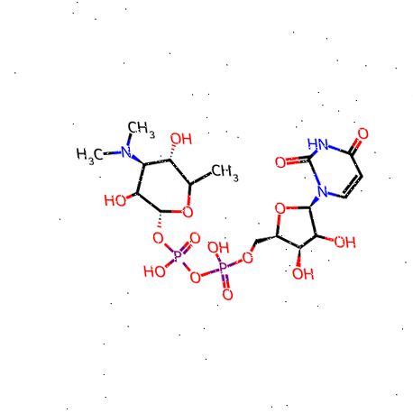 CC1O[C@H](OP(=O)(O)OP(=O)(O)OC[C@H]2O[C@@H](n3ccc(=O)[nH]c3=O)C(O)[C@H]2O)C(O)[C@@H](N(C)C)[C@@H]1O